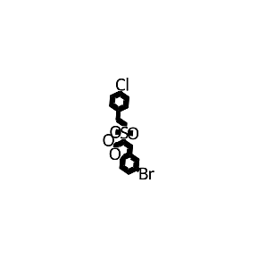 O=c1oc2ccc(Br)cc2cc1S(=O)(=O)/C=C/c1ccc(Cl)cc1